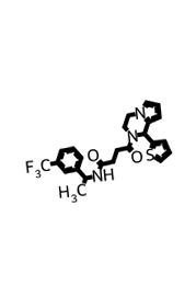 CC(NC(=O)CCC(=O)N1CCn2cccc2C1c1cccs1)c1cccc(C(F)(F)F)c1